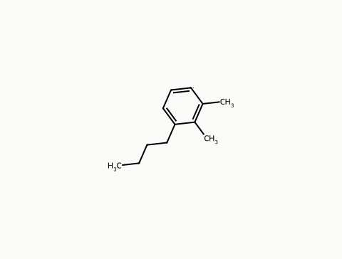 CCCCc1cc[c]c(C)c1C